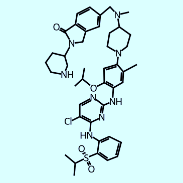 Cc1cc(Nc2ncc(Cl)c(Nc3ccccc3S(=O)(=O)C(C)C)n2)c(OC(C)C)cc1N1CCC(N(C)Cc2ccc3c(c2)CN(C2CCCNC2)C3=O)CC1